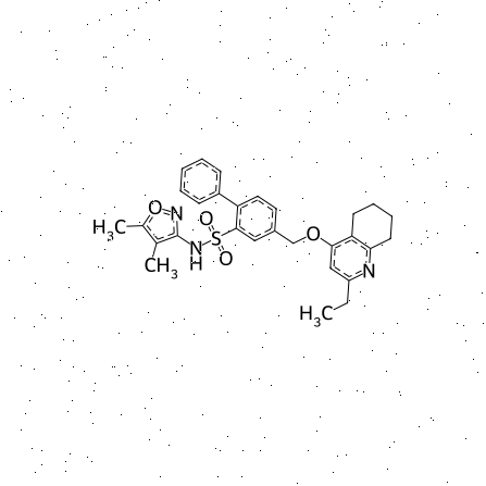 CCc1cc(OCc2ccc(-c3ccccc3)c(S(=O)(=O)Nc3noc(C)c3C)c2)c2c(n1)CCCC2